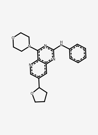 c1ccc(Nc2nc(N3CCOCC3)c3ncc(C4CCCO4)cc3n2)cc1